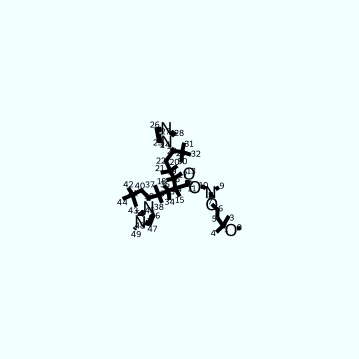 COC(C)(C)CCON(C)COC(=O)C(C)(C(C)(C)C(C)(C)CC(n1ccnc1)C(C)(C)C)C(C)(C)C(C)(C)C(CC(C)(C)C)n1cc[n+](C)c1